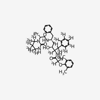 [2H]c1c([2H])c([2H])c(C([2H])([2H])[C@]([2H])(NC(=O)C([2H])([2H])Oc2c(C)cccc2C)[C@@H](O)C[C@H](Cc2ccccc2)NC(=O)[C@H](C(C)C)N2C(=O)NC([2H])([2H])C([2H])([2H])C2([2H])[2H])c([2H])c1[2H]